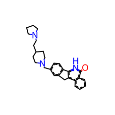 O=c1[nH]c2c(c3ccccc13)Cc1cc(CN3CCC(CCN4CCCC4)CC3)ccc1-2